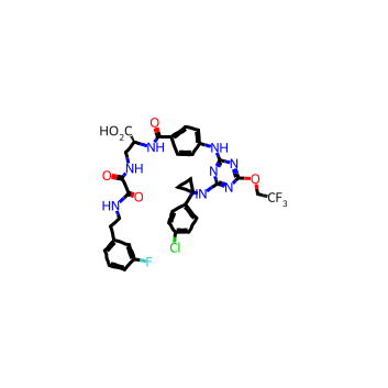 O=C(NCCc1cccc(F)c1)C(=O)NC[C@H](NC(=O)c1ccc(Nc2nc(NC3(c4ccc(Cl)cc4)CC3)nc(OCC(F)(F)F)n2)cc1)C(=O)O